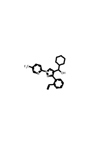 C=Cc1ccccc1-c1nn(-c2ccc(C(F)(F)F)cn2)cc1C(O)C1CCCCC1